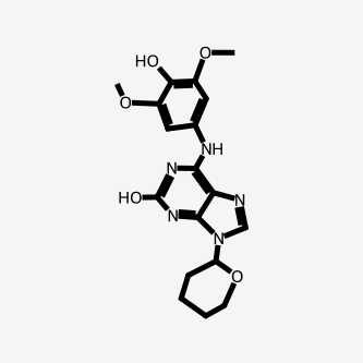 COc1cc(Nc2nc(O)nc3c2ncn3C2CCCCO2)cc(OC)c1O